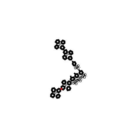 Cc1ccc(S(=O)(=O)[O-])cc1.Cc1ccc(S(=O)(=O)[O-])cc1.Cc1ccc(S(=O)(=O)[O-])cc1.Cc1ccc(S(=O)(=O)[O-])cc1.c1ccc([P+](c2ccccc2)(c2ccccc2)c2ccccc2)cc1.c1ccc([P+](c2ccccc2)(c2ccccc2)c2ccccc2)cc1.c1ccc([P+](c2ccccc2)(c2ccccc2)c2ccccc2)cc1.c1ccc([P+](c2ccccc2)(c2ccccc2)c2ccccc2)cc1